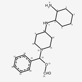 NC1CCCCC1NC1CCN(C(OC=O)c2ccccc2)CC1